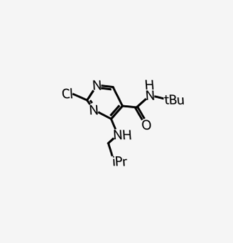 CC(C)CNc1nc(Cl)ncc1C(=O)NC(C)(C)C